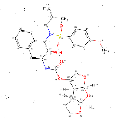 COc1ccc(S(=O)(=O)N(CC(C)C)C[C@@H](O)[C@H](Cc2ccccc2)NC(=O)O[C@H]2CO[C@H]3O[C@H]4OCC[C@H]4[C@H]32)cc1